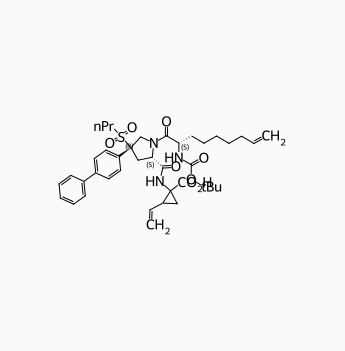 C=CCCCCC[C@H](NC(=O)OC(C)(C)C)C(=O)N1C[C@@](c2ccc(-c3ccccc3)cc2)(S(=O)(=O)CCC)C[C@H]1C(=O)NC1(C(=O)O)CC1C=C